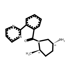 C[C@@H]1CC[C@@H](N)CN1C(=O)c1ccccc1-c1ncccn1